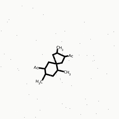 CC(=O)C1CC2(CC(C)C(C(C)=O)C2)C(C)CC1C